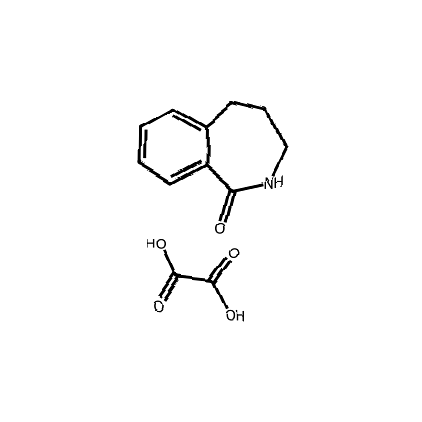 O=C(O)C(=O)O.O=C1NCCCc2ccccc21